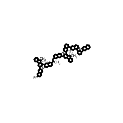 CC(C)c1ccc2cc3c(cc2c1)c1cc2c(c4c5cc6cc(C(C)Cc7ccc8cc9c(cc8c7)c7cc8c(c%10c%11cc%12c(-c%13ccc%14c(ccc%15c%14c%14cccc%16c%17cc%18ccccc%18cc%17n%15c%16%14)c%13)cccc%12cc%11n9c7%10)C(C)(C)c7ccccc7-8)ccc6cc5n3c14)C(C)(C)c1ccccc1-2